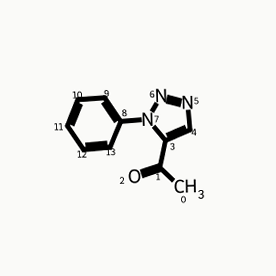 CC(=O)c1cnnn1-c1ccccc1